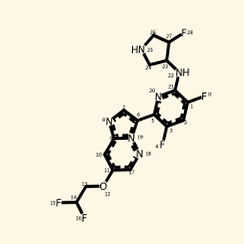 Fc1cc(F)c(-c2cnc3cc(OCC(F)F)cnn23)nc1NC1CNCC1F